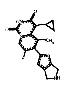 Cc1c(-c2cc3c(s2)CNC3)c(F)cn2c(=O)[nH]c(=O)c(C3CC3)c12